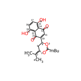 CCCCC(=O)OC(CC=C(C)C)C1=CC(=O)c2c(O)ccc(O)c2C1=O